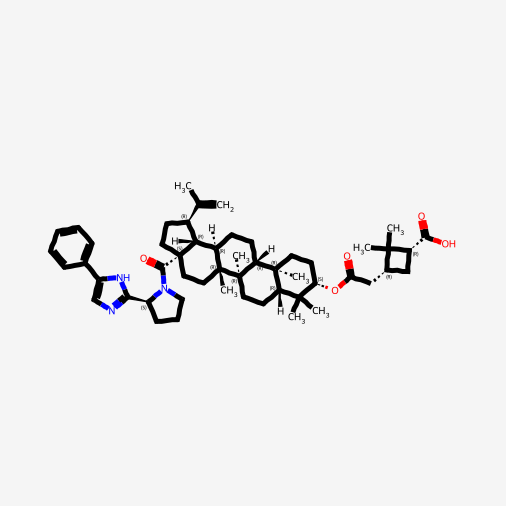 C=C(C)[C@@H]1CC[C@]2(C(=O)N3CCC[C@H]3c3ncc(-c4ccccc4)[nH]3)CC[C@]3(C)[C@H](CC[C@@H]4[C@@]5(C)CC[C@H](OC(=O)C[C@H]6C[C@@H](C(=O)O)C6(C)C)C(C)(C)[C@@H]5CC[C@]43C)[C@@H]12